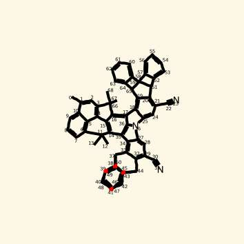 Cc1cc2c3c4c(cccc14)C(C)(C)c1c-3c(c3c4c5c(c(C#N)cc4n4c6cc(C#N)c7c(c6c1c34)C1c3ccccc3C7c3ccccc31)C1c3ccccc3C13c1ccccc1C53)C2(C)C